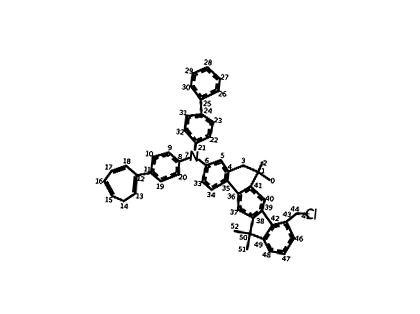 CC1(C)Cc2cc(N(c3ccc(C4=CCC=CC=C4)cc3)c3ccc(-c4ccccc4)cc3)ccc2-c2cc3c(cc21)-c1c(CCl)cccc1C3(C)C